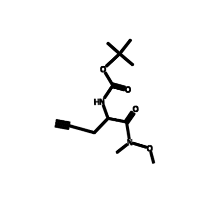 C#CCC(NC(=O)OC(C)(C)C)C(=O)N(C)OC